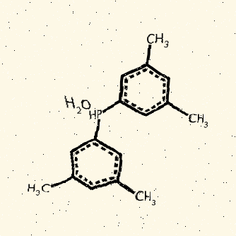 Cc1cc(C)cc(Pc2cc(C)cc(C)c2)c1.O